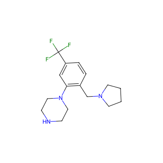 FC(F)(F)c1ccc(CN2CCCC2)c(N2CCNCC2)c1